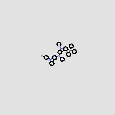 Fc1ccc(-n2c3ccccc3c3cc(N(c4ccccc4)c4ccc5c(c4)c4cc([Si](c6ccccc6)(c6ccccc6)c6ccccc6)ccc4n5-c4ccccc4)ccc32)cc1